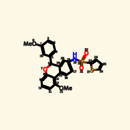 COc1cccc(C2Oc3cccc(OC)c3-c3ccc(NS(=O)(=O)c4cccs4)cc32)c1